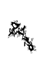 Cc1nc(N2CC(c3nc4ccccc4n3C)C2)cc(-n2nc(C)nc2C2CCCCC2)n1